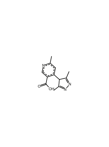 CC1=NN=C(C)C1c1cc(C)ncc1C(=O)O